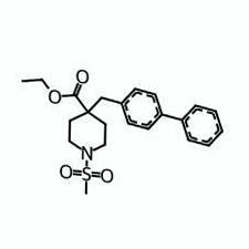 CCOC(=O)C1(Cc2ccc(-c3ccccc3)cc2)CCN(S(C)(=O)=O)CC1